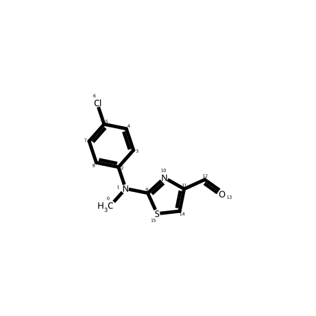 CN(c1ccc(Cl)cc1)c1nc(C=O)cs1